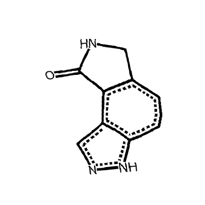 O=C1NCc2ccc3[nH]ncc3c21